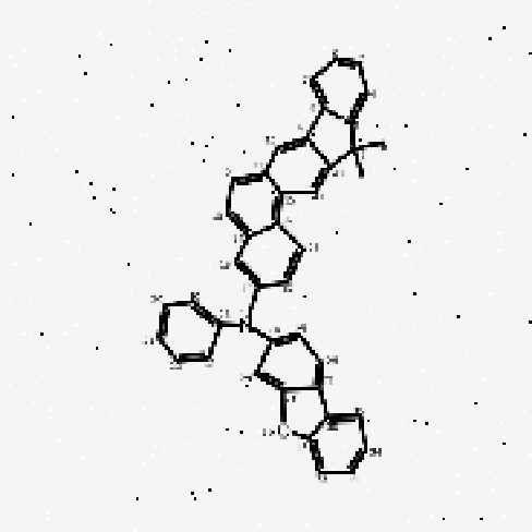 CC1(C)c2ccccc2-c2cc3ccc4cc(N(c5ccccc5)c5ccc6c(c5)oc5ccccc56)ccc4c3cc21